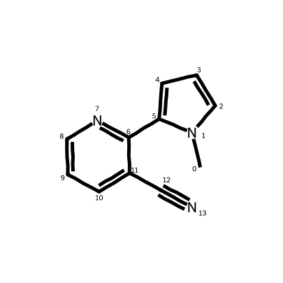 Cn1cccc1-c1ncccc1C#N